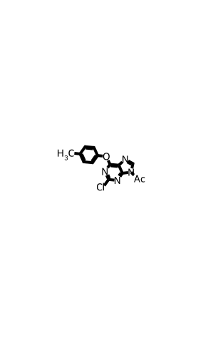 CC(=O)n1cnc2c(Oc3ccc(C)cc3)nc(Cl)nc21